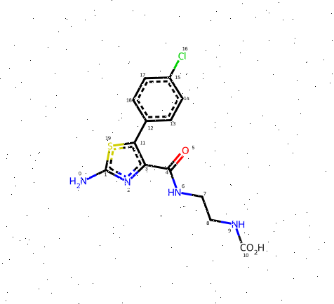 Nc1nc(C(=O)NCCNC(=O)O)c(-c2ccc(Cl)cc2)s1